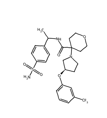 CC(NC(=O)C1(N2CC[C@@H](Oc3cccc(C(F)(F)F)c3)C2)CCOCC1)c1ccc(S(N)(=O)=O)cc1